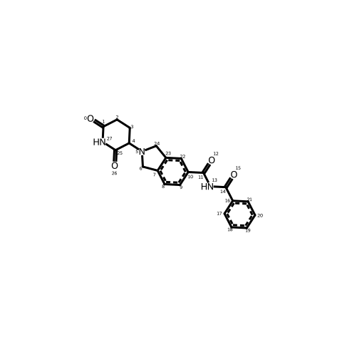 O=C1CCC(N2Cc3ccc(C(=O)NC(=O)c4ccccc4)cc3C2)C(=O)N1